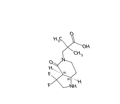 CC(C)(CN1CC[C@H]2NCC(F)(F)[C@H]2C1=O)C(=O)O